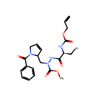 C=CCOC(=O)N[C@@H](CC(C)C)C(=O)NN(CC1C=CCN1C(=O)c1ccccc1)C(=O)OC(C)(C)C